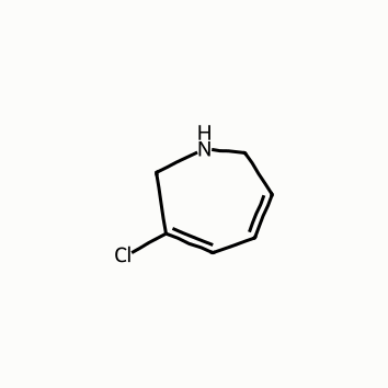 ClC1=CC=CCNC1